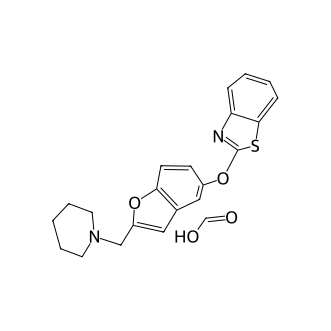 O=CO.c1ccc2sc(Oc3ccc4oc(CN5CCCCC5)cc4c3)nc2c1